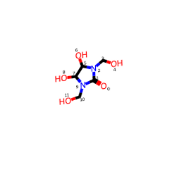 O=C1N(CO)C(O)C(O)N1CO